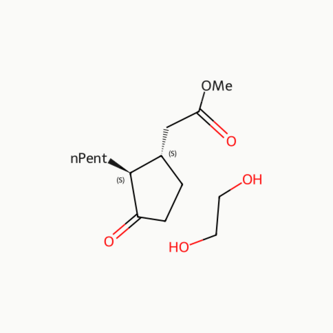 CCCCC[C@@H]1C(=O)CC[C@H]1CC(=O)OC.OCCO